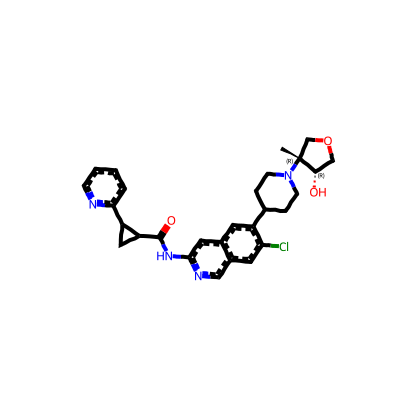 C[C@@]1(N2CCC(c3cc4cc(NC(=O)C5CC5c5ccccn5)ncc4cc3Cl)CC2)COC[C@@H]1O